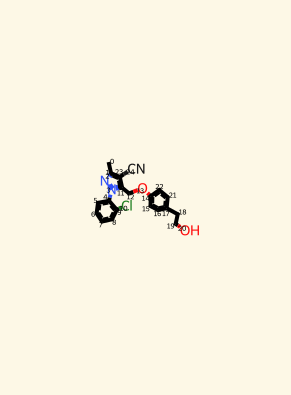 Cc1nn(-c2ccccc2Cl)c(COc2ccc(CCO)cc2)c1C#N